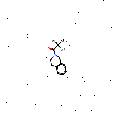 CCCC(C)(C)C(=O)N1CCc2ccccc2C1